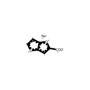 O=C([O-])c1cc2occc2o1.[Na+]